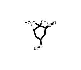 CCOC1CCC(C)(C(=O)O)C(=C=O)C1